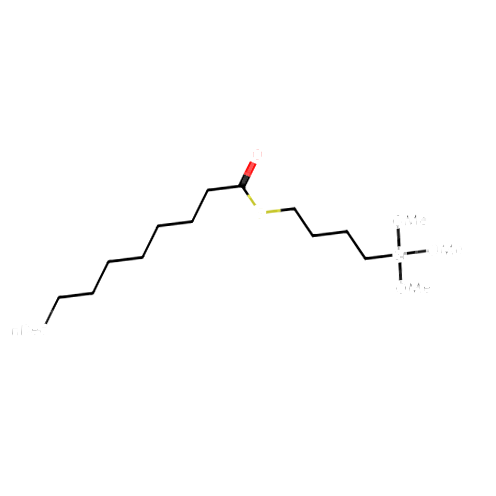 CCCCCCCCCCCCCCCCCC(=O)SCCCC[Si](OC)(OC)OC